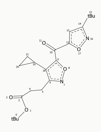 CC(C)(C)OC(=O)CCc1noc(C(=O)c2cc(C(C)(C)C)no2)c1C1CC1